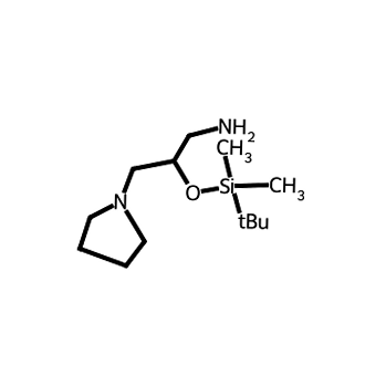 CC(C)(C)[Si](C)(C)OC(CN)CN1CCCC1